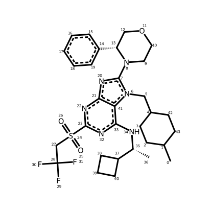 CC1CCC(Cn2c(N3CCOC[C@H]3c3ccccc3)nc3nc(S(=O)(=O)CC(F)(F)F)nc(N[C@H](C)C4CCC4)c32)CC1